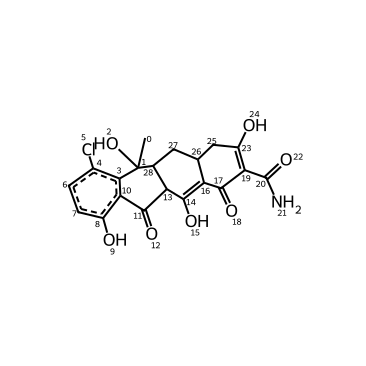 CC1(O)c2c(Cl)ccc(O)c2C(=O)C2C(O)=C3C(=O)C(C(N)=O)=C(O)CC3CC21